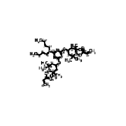 C=CC(=O)ON1C(C)(C)CC(Oc2nc(OC3CC(C)(C)N(OC(=O)C=C)C(C)(C)C3)nc(N(CCCC)CCCC)n2)CC1(C)C